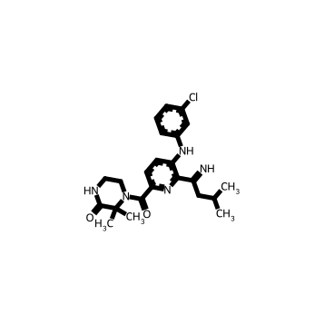 CC(C)CC(=N)c1nc(C(=O)N2CCNC(=O)C2(C)C)ccc1Nc1cccc(Cl)c1